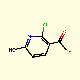 CCC(=O)c1ccc(C#N)nc1Cl